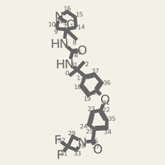 CC(C)(NC(=O)NC1(C)CCN2CCC1CC2)c1ccc(Oc2ccc(C(=O)N3CC(F)(F)C3)cc2)cc1